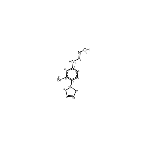 O/N=C/Nc1ccc(N2CC=CC2)c(Br)c1